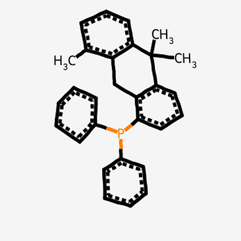 Cc1cccc2c1Cc1c(P(c3ccccc3)c3ccccc3)cccc1C2(C)C